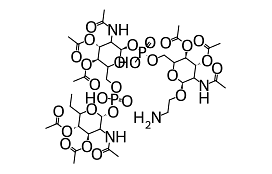 CCC1O[C@H](OP(=O)(O)OCC2O[C@H](OP(=O)(O)OCC3O[C@H](OCCN)C(NC(C)=O)[C@@H](OC(C)=O)[C@@H]3OC(C)=O)C(NC(C)=O)[C@@H](OC(C)=O)[C@@H]2OC(C)=O)C(NC(C)=O)[C@@H](OC(C)=O)[C@@H]1OC(C)=O